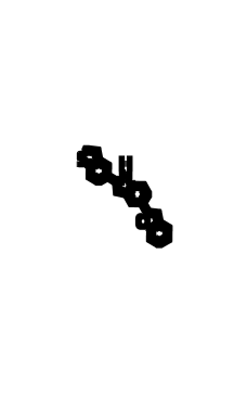 c1ccc2oc(-c3ccc4[nH]c(-c5ccc6sccc6c5)cc4c3)cc2c1